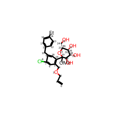 C=CCOCc1cc(Cl)c(Cc2ccc(CC)cc2)cc1C1(OC)O[C@H](CO)[C@@H](O)[C@H](O)[C@H]1O